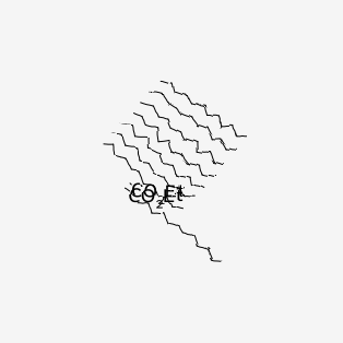 CCCCCCCCCCCC.CCCCCCCCCCCC.CCCCCCCCCCCC.CCCCCCCCCCCC.CCCCCCCCCCCC.CCCCCCCCCCCC.CCCCCCCCCCCC.CCCCCCCCCCCC.CCOC(C)=O.CCOC(C)=O